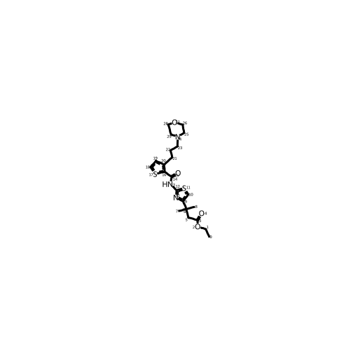 CCOC(=O)CC(C)(C)c1csc(NC(=O)c2sccc2CCCN2CCOCC2)n1